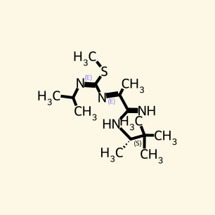 CSC(=N/C(C)C)/N=C(\C)C(=N)N[C@@H](C)C(C)(C)C